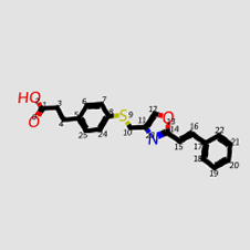 O=C(O)CCc1ccc(SCc2coc(/C=C/c3ccccc3)n2)cc1